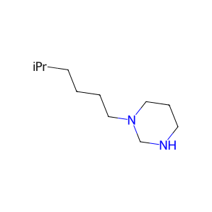 CC(C)CCCCN1CCCNC1